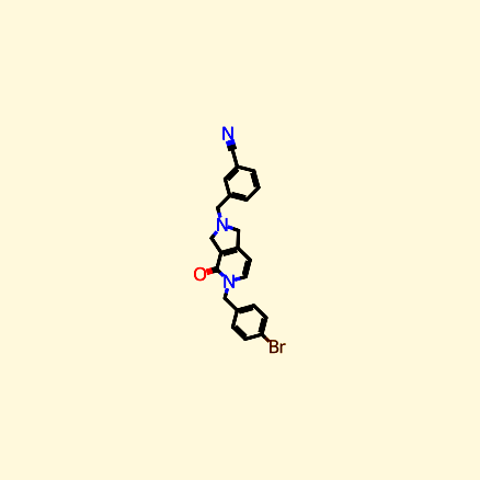 N#Cc1cccc(CN2Cc3ccn(Cc4ccc(Br)cc4)c(=O)c3C2)c1